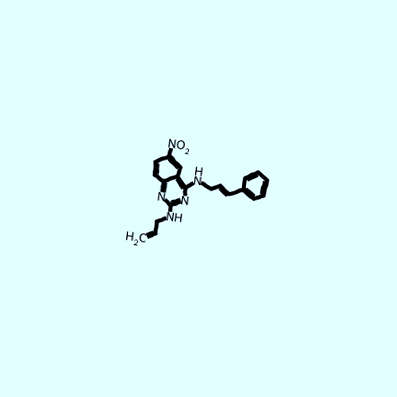 C=CCNc1nc(NC/C=C/c2ccccc2)c2cc([N+](=O)[O-])ccc2n1